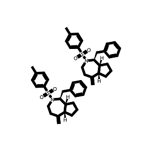 C=C1CCN(S(=O)(=O)c2ccc(C)cc2)[C@@H](Cc2ccccc2)[C@@H]2CCC[C@H]12.C=C1CCN(S(=O)(=O)c2ccc(C)cc2)[C@@H](Cc2ccccc2)[C@@H]2CCC[C@H]12